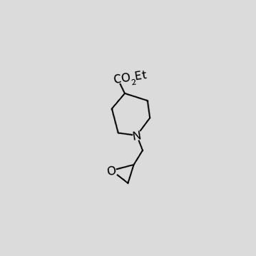 CCOC(=O)C1CCN(CC2CO2)CC1